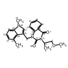 COCC(C)n1c(=O)c2ccccc2n(Cc2cn(C)c3cccc(C)c23)c1=O